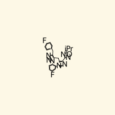 CC(C)c1nc(-c2ncn3c2Cc2c(Cc4ccc(F)cc4)nnn2-c2ccc(F)cc2-3)no1